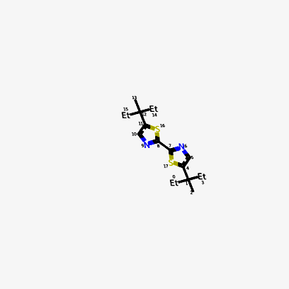 CCC(C)(CC)c1cnc(-c2ncc(C(C)(CC)CC)s2)s1